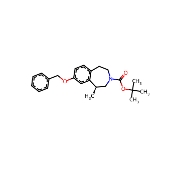 C[C@@H]1CN(C(=O)OC(C)(C)C)CCc2ccc(OCc3ccccc3)cc21